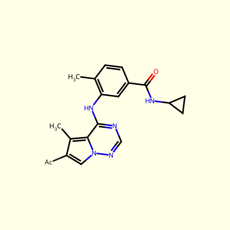 CC(=O)c1cn2ncnc(Nc3cc(C(=O)NC4CC4)ccc3C)c2c1C